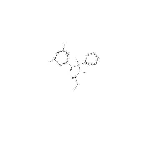 O=C(CCl)N(Cl)[N+](Cl)(C(=O)c1cc(Cl)cc(Cl)c1)c1ccccc1